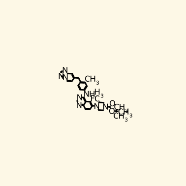 Cc1cc(Nc2ncnc3ccc(N4CCN(C(=O)OC(C)(C)C)CC4C)c(F)c23)ccc1Cc1ccn2ncnc2c1